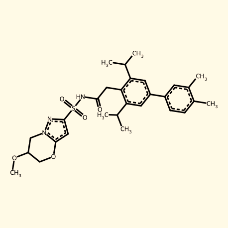 COC1COc2cc(S(=O)(=O)NC(=O)Cc3c(C(C)C)cc(-c4ccc(C)c(C)c4)cc3C(C)C)nn2C1